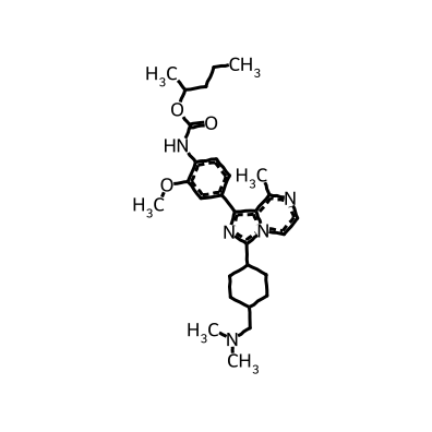 CCCC(C)OC(=O)Nc1ccc(-c2nc(C3CCC(CN(C)C)CC3)n3ccnc(C)c23)cc1OC